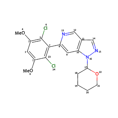 COc1cc(OC)c(Cl)c(-c2cc3c(cn2)cnn3C2CCCCO2)c1Cl